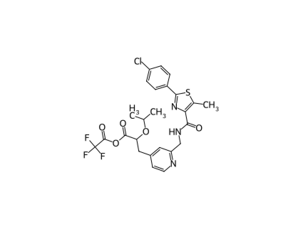 Cc1sc(-c2ccc(Cl)cc2)nc1C(=O)NCc1cc(CC(OC(C)C)C(=O)OC(=O)C(F)(F)F)ccn1